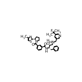 Cc1csc([C@H]2CCCN2C(=O)c2cccc(C(=O)N[C@@H](Cc3ccccc3)[C@@H](O)CNCc3cncc(C(C)(C)F)c3)c2)n1